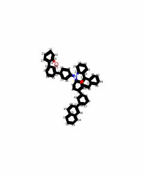 c1cc(-c2ccc(N(c3ccc(-c4cccc5c4oc4ccccc45)cc3)c3ccccc3-c3cccc4ccccc34)cc2)cc(-c2ccc3ccccc3c2)c1